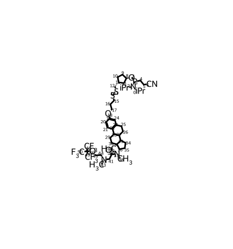 CC(C)N(C(C)C)P(CCC#N)O[C@@H]1CC[C@@H](CSSCCCOc2ccc3c(c2)CCC2C3CC[C@@]3(C)C2CC[C@@H]3N(C)C(=O)CN(C)CCOC(C(F)(F)F)(C(F)(F)F)C(F)(F)F)C1